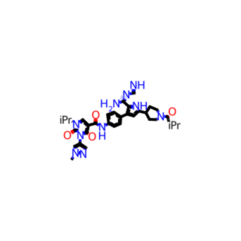 CC(C)C(=O)N1CCC(c2cc(-c3ccc(NC(=O)c4cn(C(C)C)c(=O)n(-c5cnn(C)c5)c4=O)cc3)c(/C(N)=N\C=N)[nH]2)CC1